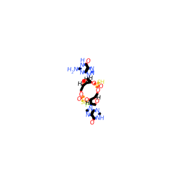 Nc1nc2c(nnn2[C@@H]2O[C@@H]3COP(=O)(S)O[C@@H]4[C@@H](COP(=O)(S)O[C@@H]2[C@H]3F)OC[C@]4(F)n2cnc3c(=O)[nH]cnc32)c(=O)[nH]1